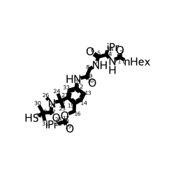 CCCCCCC(=O)NC(C(=O)NCC(=O)Nc1ccc(COC(=O)C(C)C)c(C(C)(C)N(C)C(=O)C(C)(C)S)c1)C(C)C